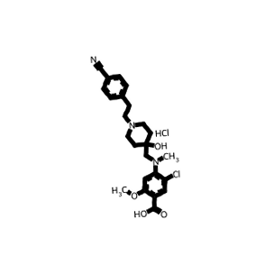 COc1cc(N(C)CC2(O)CCN(CCc3ccc(C#N)cc3)CC2)c(Cl)cc1C(=O)O.Cl